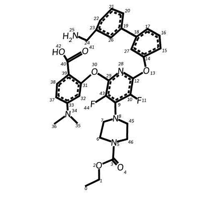 CCOC(=O)N1CCN(c2c(F)c(Oc3cccc(-c4cccc(CN)c4)c3)nc(Oc3cc(N(C)C)ccc3C(=O)O)c2F)CC1